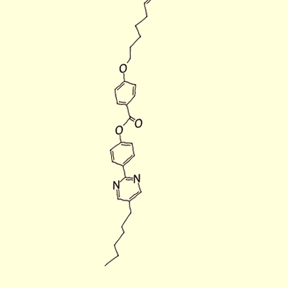 C=CCCCCCOc1ccc(C(=O)Oc2ccc(-c3ncc(CCCCCC)cn3)cc2)cc1